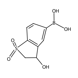 O=S1(=O)CC(O)c2cc(B(O)O)ccc21